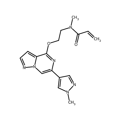 C=CC(=O)N(C)CCOc1nc(-c2cnn(C)c2)cn2nccc12